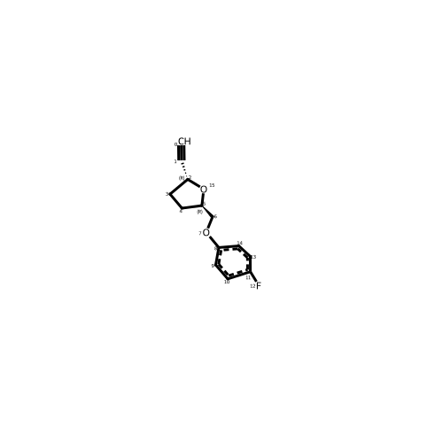 C#C[C@H]1CC[C@H](COc2ccc(F)cc2)O1